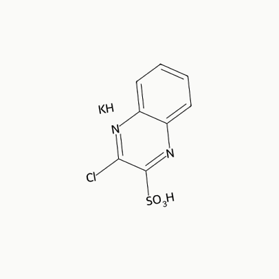 O=S(=O)(O)c1nc2ccccc2nc1Cl.[KH]